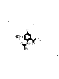 CC(C)(C)C(=O)Nc1ccc(Cl)cc1C(=O)C(F)(F)F.Cl.O